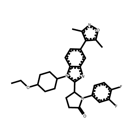 CCOC1CCC(n2c(C3CCC(=O)N3c3ccc(F)c(F)c3)nc3cc(-c4c(C)noc4C)ccc32)CC1